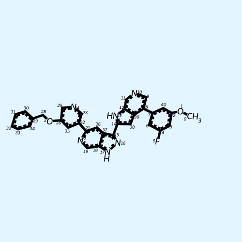 COc1cc(F)cc(-c2cncc3[nH]c(-c4n[nH]c5cnc(-c6cncc(OCc7ccccc7)c6)cc45)cc23)c1